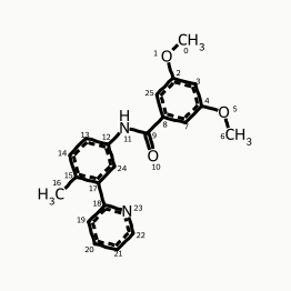 COc1cc(OC)cc(C(=O)Nc2ccc(C)c(-c3ccccn3)c2)c1